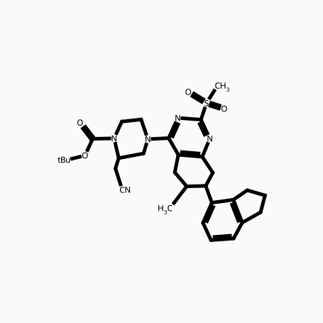 CC1Cc2c(nc(S(C)(=O)=O)nc2N2CCN(C(=O)OC(C)(C)C)C(CC#N)C2)CC1c1cccc2c1CCC2